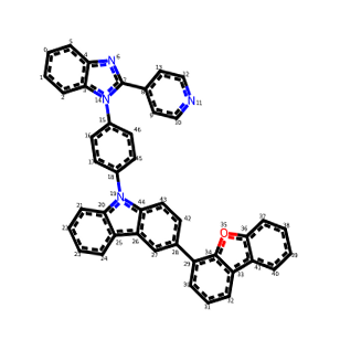 c1ccc2c(c1)nc(-c1ccncc1)n2-c1ccc(-n2c3ccccc3c3cc(-c4cccc5c4oc4ccccc45)ccc32)cc1